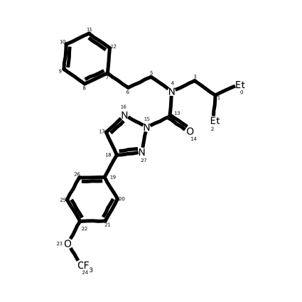 CCC(CC)CN(CCc1ccccc1)C(=O)n1ncc(-c2ccc(OC(F)(F)F)cc2)n1